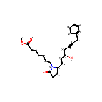 COC(=O)CCCCCCN1C(=O)CC[C@@H]1/C=C/[C@@H](O)CC#CCc1ccccc1